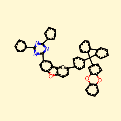 c1ccc(-c2nc(-c3ccccc3)nc(-c3ccc4oc5ccc(-c6ccc(C7(c8ccc9c(c8)Oc8ccccc8O9)c8ccccc8-c8ccccc87)cc6)cc5c4c3)n2)cc1